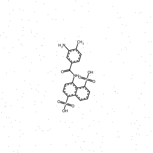 Cc1ccc(C(=O)Nc2ccc(S(=O)(=O)O)c3cccc(S(=O)(=O)O)c23)cc1N